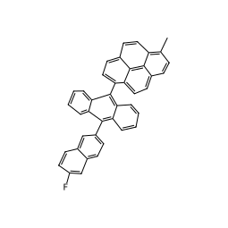 Cc1ccc2ccc3c(-c4c5ccccc5c(-c5ccc6cc(F)ccc6c5)c5ccccc45)ccc4ccc1c2c43